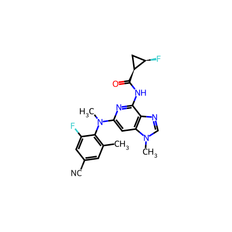 Cc1cc(C#N)cc(F)c1N(C)c1cc2c(ncn2C)c(NC(=O)[C@H]2C[C@H]2F)n1